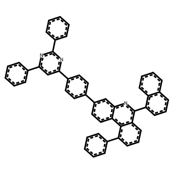 c1ccc(-c2cc(-c3ccc(-c4ccc5c(c4)nc(-c4cccc6ccccc46)c4cccc(-c6ccccc6)c45)cc3)nc(-c3ccccc3)n2)cc1